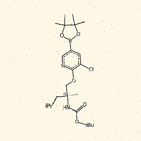 CC(C)C[C@@](C)(COc1ncc(B2OC(C)(C)C(C)(C)O2)cc1Cl)NC(=O)OC(C)(C)C